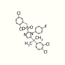 CC(C)(c1ccc(Cl)c(Cl)c1)c1cnc(S(=O)(=O)Cc2cc(Cl)ccc2Cl)n1-c1ccc(F)cc1